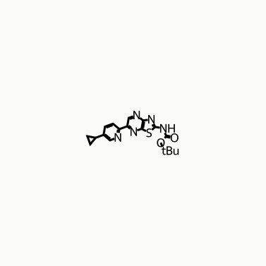 CC(C)(C)OC(=O)Nc1nc2ncc(-c3ccc(C4CC4)cn3)nc2s1